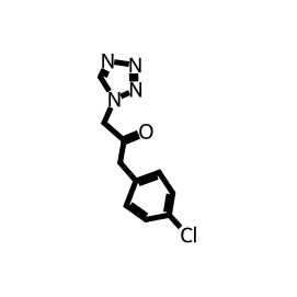 O=C(Cc1ccc(Cl)cc1)Cn1cnnn1